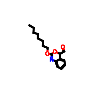 CCCCCCCCOC1=Nc2ccccc2C(C=O)O1